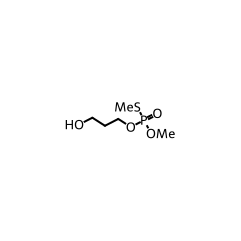 COP(=O)(OCCCO)SC